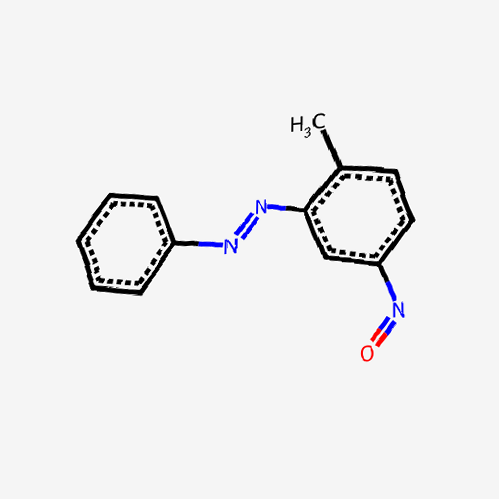 Cc1ccc(N=O)cc1/N=N/c1ccccc1